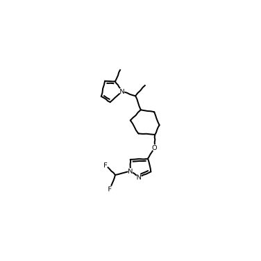 Cc1cccn1C(C)C1CCC(Oc2cnn(C(F)F)c2)CC1